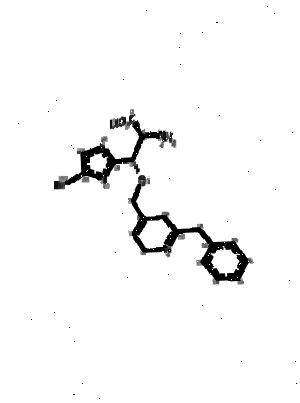 CCOC(=O)[C@@H](N)[C@H](OCC1=CCN=C(Cc2ccccc2)C1)c1nc(Br)cs1